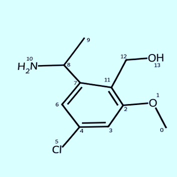 COc1cc(Cl)cc(C(C)N)c1CO